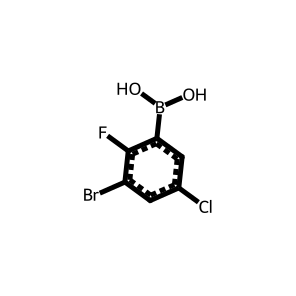 OB(O)c1cc(Cl)cc(Br)c1F